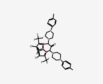 Cc1ccc(N2CCN(C(Cn3nc(C(F)(F)F)c(Cl)c3C)C(=O)C(Cn3nc(C(F)(F)F)c(Cl)c3C)N3CCN(c4ccc(C)cc4)CC3)CC2)cc1